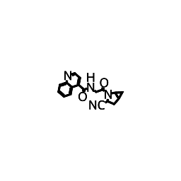 N#CC1CC2CC2N1C(=O)CNC(=O)c1ccnc2ccccc12